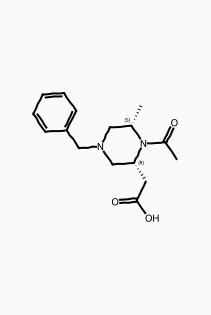 CC(=O)N1[C@H](CC(=O)O)CN(Cc2ccccc2)C[C@@H]1C